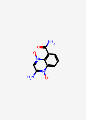 NC(=O)c1cccc2c1[n+]([O-])cc(N)[n+]2[O-]